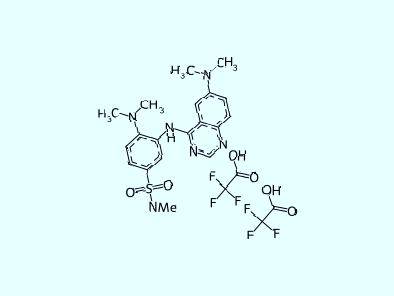 CNS(=O)(=O)c1ccc(N(C)C)c(Nc2ncnc3ccc(N(C)C)cc23)c1.O=C(O)C(F)(F)F.O=C(O)C(F)(F)F